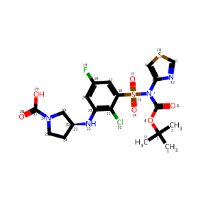 CC(C)(C)OC(=O)N(c1cscn1)S(=O)(=O)c1cc(F)cc(N[C@H]2CCN(C(=O)O)C2)c1Cl